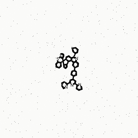 c1ccc(-c2nc3ccc(-c4ccc(-c5cc(-c6ccccn6)nc(-c6ccccn6)c5)cc4)cc3c3c4c(ccc23)C2(c3ccccc3Sc3ccccc32)c2ccccc2-4)cc1